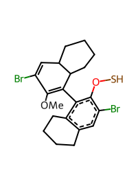 COC1=C(c2c3c(cc(Br)c2OS)CCCC3)C2CCCCC2C=C1Br